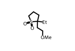 CCC1(CCOC)CCCS1(=O)=O